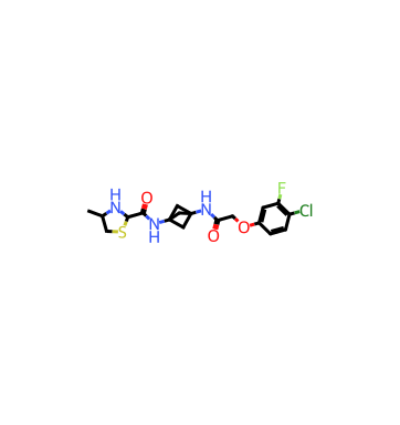 CC1CSC(C(=O)NC23CC(NC(=O)COc4ccc(Cl)c(F)c4)(C2)C3)N1